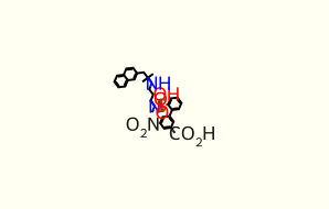 CN(CC(O)CNC(C)(C)Cc1ccc2ccccc2c1)S(=O)(=O)c1ccccc1-c1cc(C(=O)O)cc([N+](=O)[O-])c1